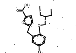 CCC(CC)COc1ccc(Cl)cc1Cc1ccc(C(=O)O)o1